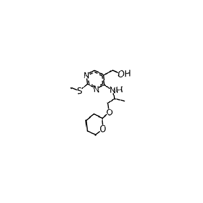 CSc1ncc(CO)c(NC(C)COC2CCCCO2)n1